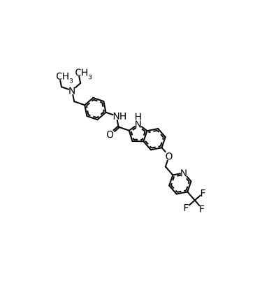 CCN(CC)Cc1ccc(NC(=O)c2cc3cc(OCc4ccc(C(F)(F)F)cn4)ccc3[nH]2)cc1